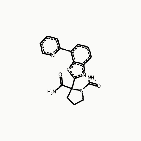 NC(=O)N1CCCC1(C(N)=O)c1nc2cccc(-c3ccccn3)c2s1